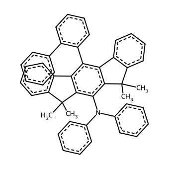 CC1(C)c2ccccc2-c2c(-c3ccccc3-c3ccccc3)c3c(c(N(c4ccccc4)c4ccccc4)c21)C(C)(C)c1ccccc1-3